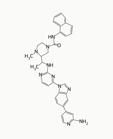 CC(Nc1nccc(-n2cnc3cc(-c4ccnc(N)c4)ccc32)n1)C1CN(C(=O)Nc2cccc3ccccc23)CCN1C